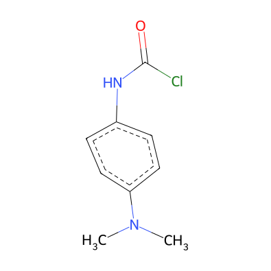 CN(C)c1ccc(NC(=O)Cl)cc1